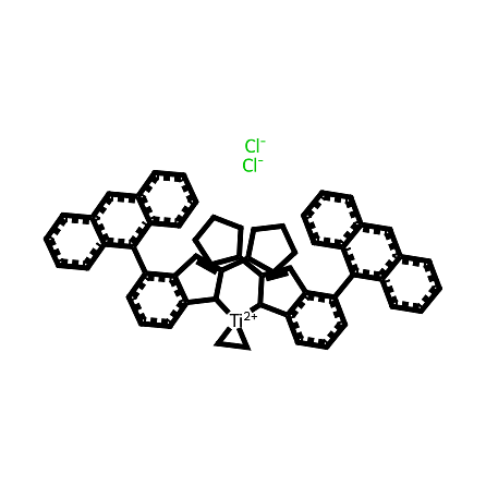 C1=C(C2CCCC2)[CH]([Ti+2]2([CH]3C(C4CCCC4)=Cc4c(-c5c6ccccc6cc6ccccc56)cccc43)[CH2][CH2]2)c2cccc(-c3c4ccccc4cc4ccccc34)c21.[Cl-].[Cl-]